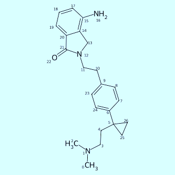 CN(C)CCC1(c2ccc(CCN3Cc4c(N)cccc4C3=O)cc2)CC1